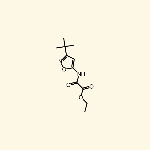 CCOC(=O)C(=O)Nc1cc(C(C)(C)C)no1